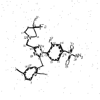 Cc1ccc(C)c(Cc2nc(CN3CCC(F)(F)C3)nn2-c2ccc(S(N)(=O)=O)cc2F)c1